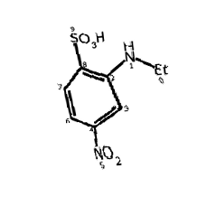 CCNc1cc([N+](=O)[O-])ccc1S(=O)(=O)O